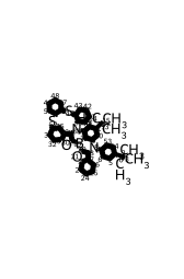 CC(C)(C)c1ccc(N2c3cc(C(C)(C)C)cc4c3B(c3oc5ccccc5c32)c2oc3ccc5cc3c2n-4c2ccccc2sc2ccccc2s5)cc1